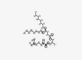 [CH2]C(COC(=O)CCC(OCCCCCCCC)OCCCCCCCC)COC(=O)NCCCN(CC)CC